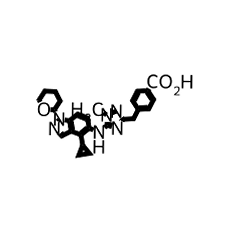 Cn1nc(Cc2ccc(C(=O)O)cc2)nc1Nc1ccc2c(cnn2C2CCCCO2)c1C1CC1